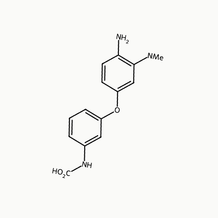 CNc1cc(Oc2cccc(NC(=O)O)c2)ccc1N